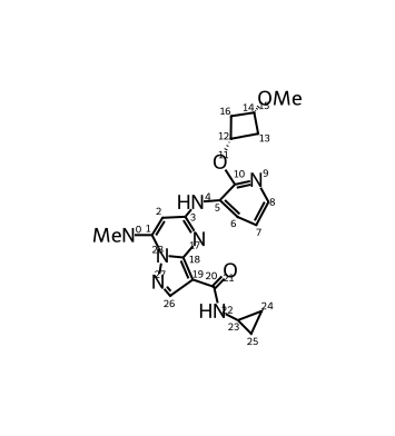 CNc1cc(Nc2cccnc2O[C@H]2C[C@@H](OC)C2)nc2c(C(=O)NC3CC3)cnn12